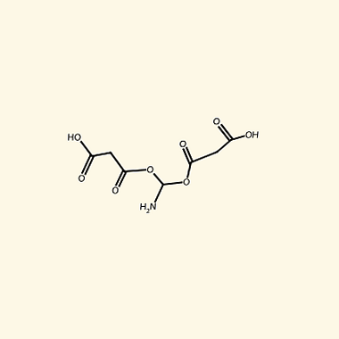 NC(OC(=O)CC(=O)O)OC(=O)CC(=O)O